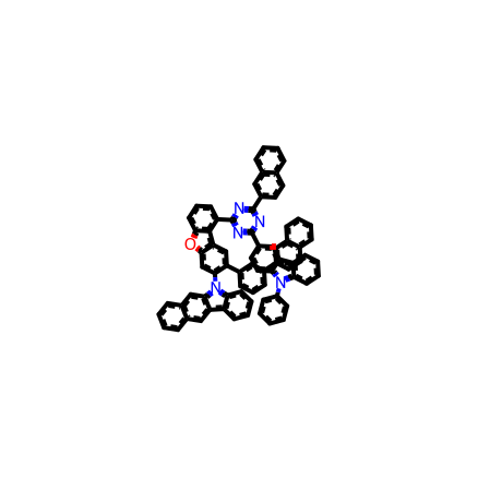 c1ccc(-n2c3ccccc3c3cc(-c4nc(-c5ccc6ccccc6c5)nc(-c5cccc6oc7cc(-n8c9ccccc9c9cc%10ccccc%10cc98)c(-c8cccc(-c9ccc%10ccccc%10c9)c8)cc7c56)n4)ccc32)cc1